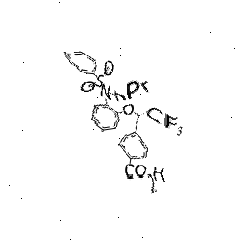 CCCN(c1ccccc1O[C@@H](c1ccc(C(=O)O)cc1)C(F)(F)F)S(=O)(=O)c1ccccc1